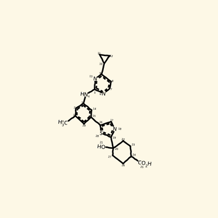 Cc1cc(Nc2nccc(C3CC3)n2)cc(-c2cnc(C3(O)CCC(C(=O)O)CC3)s2)c1